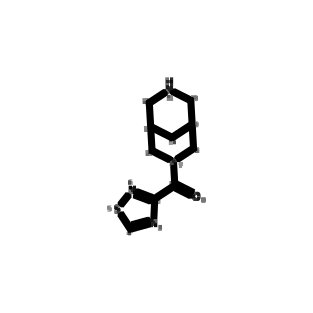 O=C(c1ncsn1)N1CC2CNCC(C2)C1